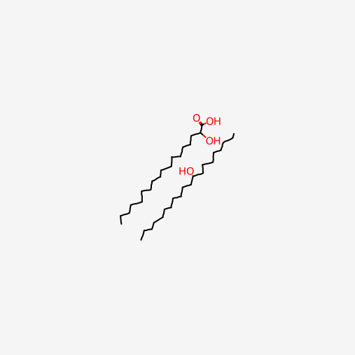 CCCCCCCCCCCC(O)CCCCCCCC.CCCCCCCCCCCCCCCCC(O)C(=O)O